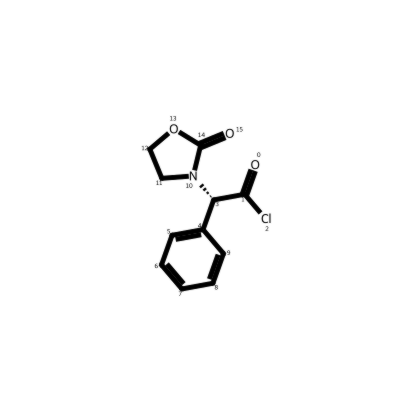 O=C(Cl)[C@H](c1ccccc1)N1CCOC1=O